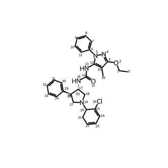 CCOc1nn(-c2ccccc2)c(NC(=O)N[C@@H]2CN(C3CC=CC=C3Cl)C[C@H]2c2ccccc2)c1C